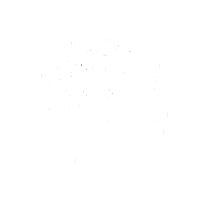 O=C(c1cc(C(F)(F)F)cc(C(F)(F)F)c1)[N]([Cu][N](C(=O)c1cc(C(F)(F)F)cc(C(F)(F)F)c1)S(=O)(=O)C(F)(F)C(F)(F)C(F)(F)C(F)(F)F)S(=O)(=O)C(F)(F)C(F)(F)C(F)(F)C(F)(F)F